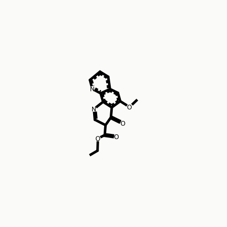 CCOC(=O)C1C=Nc2c(c(OC)cc3cccnc23)C1=O